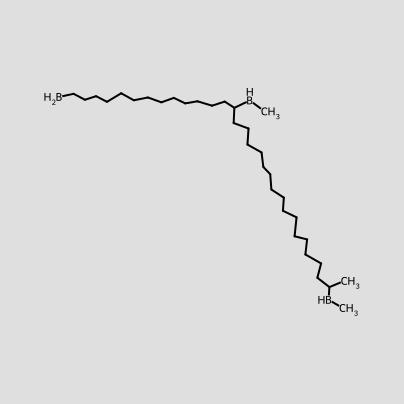 BCCCCCCCCCCCCCC(BC)CCCCCCCCCCCCCCCC(C)BC